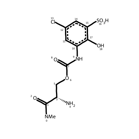 CNC(=O)[C@@H](N)COC(=O)Nc1cc(Cl)cc(S(=O)(=O)O)c1O